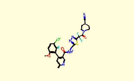 COc1ccc(Cl)c(F)c1-c1cc(C)ncc1C(=O)Nc1nnc(C(F)(F)C(=O)N2CCC(C#N)CC2)s1